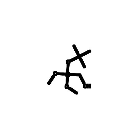 CO[Si](CO)(OC)O[Si](C)(C)C